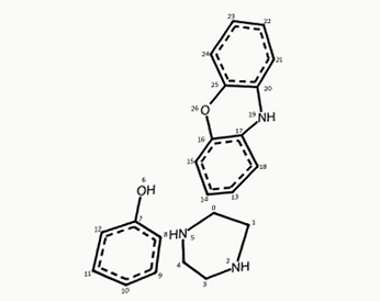 C1CNCCN1.Oc1ccccc1.c1ccc2c(c1)Nc1ccccc1O2